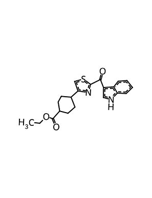 CCOC(=O)C1CCC(c2csc(C(=O)c3c[nH]c4ccccc34)n2)CC1